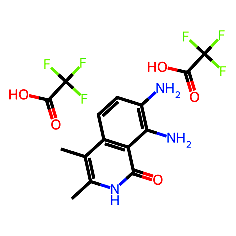 Cc1[nH]c(=O)c2c(N)c(N)ccc2c1C.O=C(O)C(F)(F)F.O=C(O)C(F)(F)F